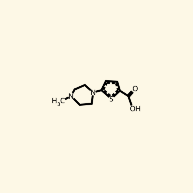 CN1CCN(c2ccc(C(=O)O)s2)CC1